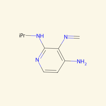 C=Nc1c(N)ccnc1NC(C)C